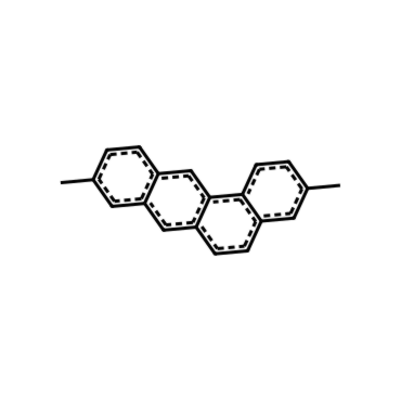 Cc1ccc2cc3c(ccc4cc(C)ccc43)cc2c1